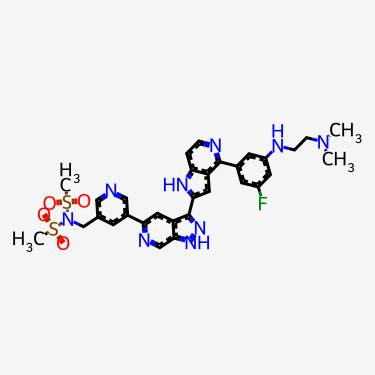 CN(C)CCNc1cc(F)cc(-c2nccc3[nH]c(-c4n[nH]c5cnc(-c6cncc(CN(S(C)(=O)=O)S(C)(=O)=O)c6)cc45)cc23)c1